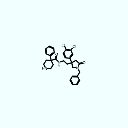 O=C1CC(CCNC(=O)C2(c3ccccc3)CCNCC2)(c2ccc(Cl)c(Cl)c2)CN1Cc1ccccc1